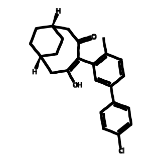 Cc1ccc(-c2ccc(Cl)cc2)cc1/C1=C(\O)C[C@H]2CC[C@H](CC2)CC1=O